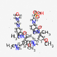 COc1cc(-c2cnn(C)c2)cc([C@@H](C)NC(=O)c2cc(N3CC(CS(=O)(=O)O)C3)ccc2C)c1.COc1cc(-c2cnn(C)c2)cc([C@@H](C)NC(=O)c2cc(N3CC(N4CCOCC4)C3)ccc2C)c1